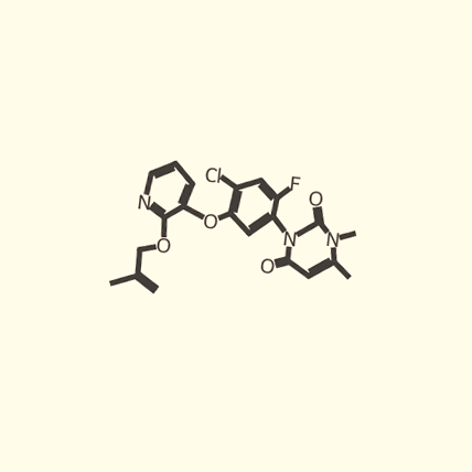 C=C(C)COc1ncccc1Oc1cc(-n2c(=O)cc(C)n(C)c2=O)c(F)cc1Cl